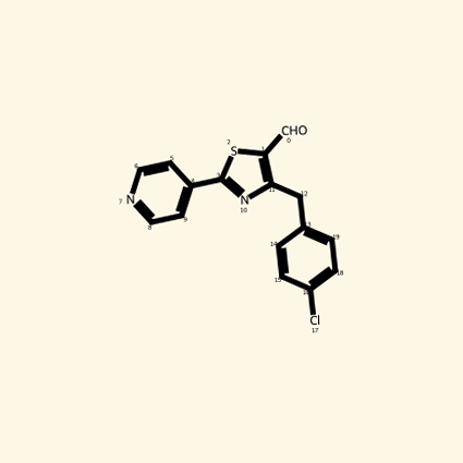 O=Cc1sc(-c2ccncc2)nc1Cc1ccc(Cl)cc1